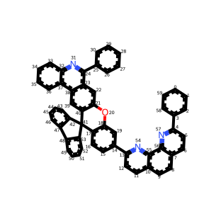 c1ccc(-c2ccc3ccc4ccc(-c5ccc6c(c5)Oc5cc7c(-c8ccccc8)nc8ccccc8c7cc5C65c6ccccc6-c6ccccc65)nc4c3n2)cc1